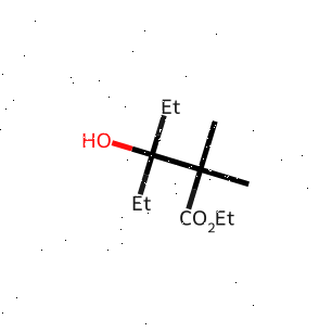 CCOC(=O)C(C)(C)C(O)(CC)CC